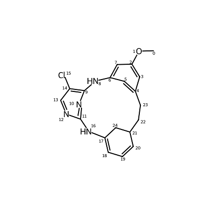 COc1cc2cc(c1)Nc1nc(ncc1Cl)NC1=CC=CC(CC2)C1